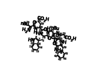 CCCC[C@H](NC(=O)[C@H](Cc1c[nH]c2ccccc12)NC(=O)[C@H](CCC(=O)O)NC(=O)[C@@H](N)CCCC)C(=O)N[C@@H](CC(=O)O)C(=O)N[C@@H](Cc1ccccc1)C(N)=O